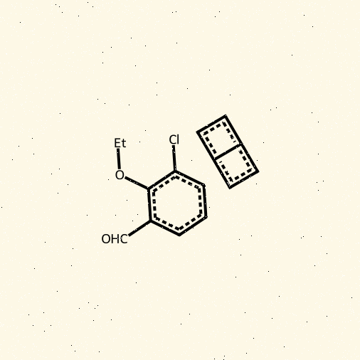 CCOc1c(Cl)cccc1C=O.c1cc2ccc1-2